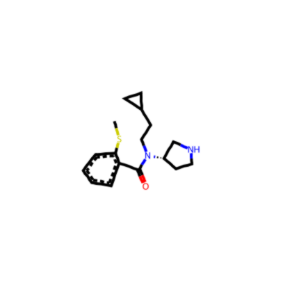 CSc1ccccc1C(=O)N(CCC1CC1)[C@H]1CCNC1